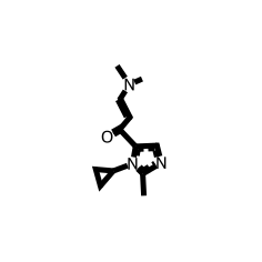 Cc1ncc(C(=O)C=CN(C)C)n1C1CC1